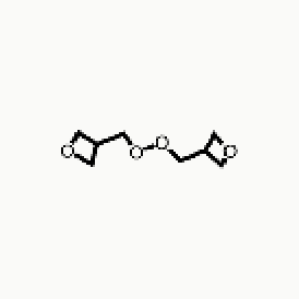 C1OCC1COOCC1COC1